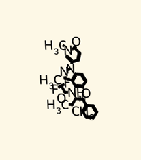 CC(C)C(NC(=O)C(C)(F)F)[C@H](Oc1ccc2c(cnn2-c2ccc(=O)n(C)c2)c1)c1ccccc1